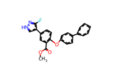 COC(=O)c1cc(-c2c[nH]nc2F)ccc1Oc1ccc(-c2ccccc2)cc1